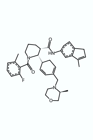 CC1=CCc2ccc(NC(=O)[C@H]3CCCN(C(=O)c4c(C)cccc4F)[C@H]3C3C=CC(CN4CCOC[C@@H]4C)=CC3)cc21